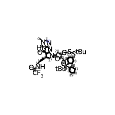 CN(C)/C=N\c1nc2c(c(C#CCNC(=O)C(F)(F)F)cn2[C@H]2CC(OCSSC(C)(C)C)[C@@H](CO[Si](c3ccccc3)(c3ccccc3)C(C)(C)C)O2)c(=O)[nH]1